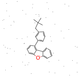 CC(C)(C)Cc1cccc(-c2cccc3oc4ccccc4c23)c1